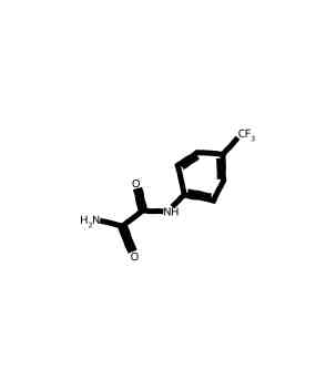 NC(=O)C(=O)Nc1ccc(C(F)(F)F)cc1